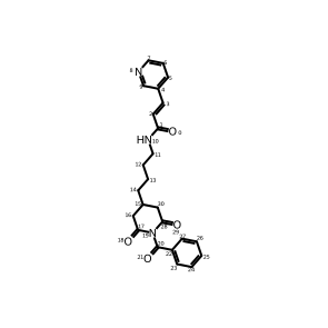 O=C(C=Cc1cccnc1)NCCCCC1CC(=O)N(C(=O)c2ccccc2)C(=O)C1